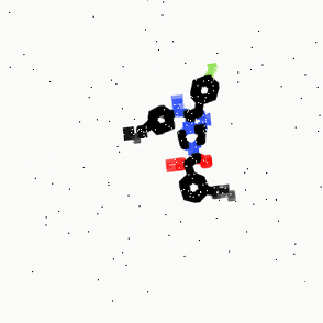 Cc1ccc(Nc2c(-c3ccc(F)cc3)nc3n2CCN(C(=O)C(O)c2cccc(C)c2)C3)cc1